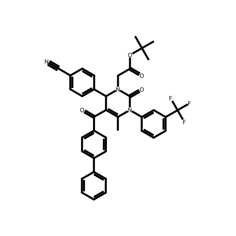 CC1=C(C(=O)c2ccc(-c3ccccc3)cc2)C(c2ccc(C#N)cc2)N(CC(=O)OC(C)(C)C)C(=O)N1c1cccc(C(F)(F)F)c1